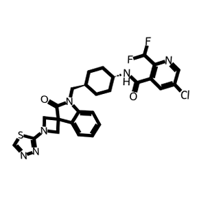 O=C(N[C@H]1CC[C@H](CN2C(=O)C3(CN(c4nncs4)C3)c3ccccc32)CC1)c1cc(Cl)cnc1C(F)F